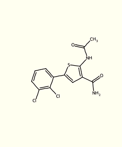 CC(=O)Nc1sc(-c2cccc(Cl)c2Cl)cc1C(N)=O